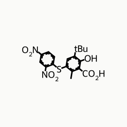 Cc1c(Sc2ccc([N+](=O)[O-])cc2[N+](=O)[O-])cc(C(C)(C)C)c(O)c1C(=O)O